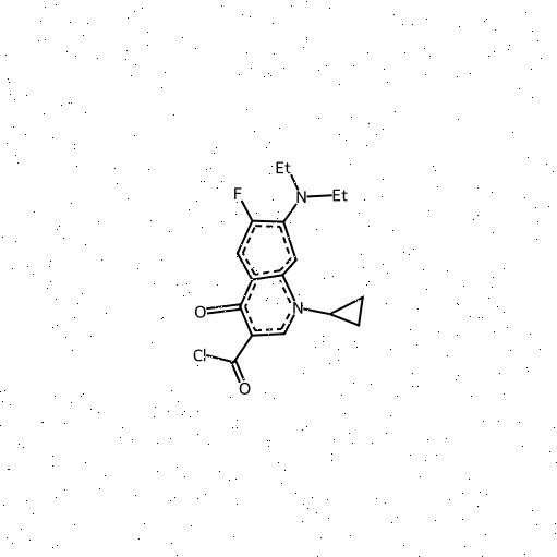 CCN(CC)c1cc2c(cc1F)c(=O)c(C(=O)Cl)cn2C1CC1